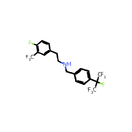 Fc1ccc(CCNCc2ccc(C(F)(C(F)(F)F)C(F)(F)F)cc2)cc1C(F)(F)F